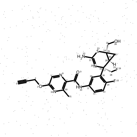 C#CCOc1cnc(C(=O)Nc2ccc(F)c([C@@]3(CF)N=C(N)S[C@@]4(CO)C[C@H]43)c2)c(C)n1